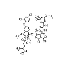 COC(=O)c1cc(Oc2ccc(Cl)cc2Cl)ccc1[N+](=O)[O-].COc1cc(OC)nc(NC(=O)NS(=O)(=O)c2c(C(=O)O)c(Cl)nn2C)n1.CP(=O)(O)CCC(N)C(=O)O